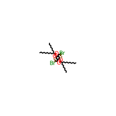 CCCCCCCCCC(CCCCCCC)C(=O)Oc1c2cc(Br)sc2c(OC(=O)C(CCCCCCC)CCCCCCCCC)c2cc(Br)sc12